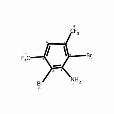 Nc1c(Br)c(C(F)(F)F)cc(C(F)(F)F)c1Br